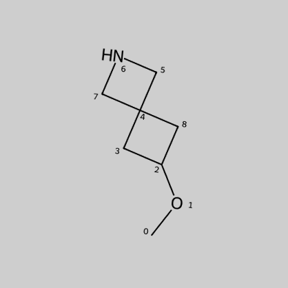 COC1CC2(CNC2)C1